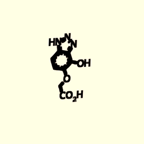 O=C(O)COc1ccc2[nH]nnc2c1O